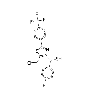 FC(F)(F)c1ccc(-c2nc(C(S)c3ccc(Br)cc3)c(CCl)s2)cc1